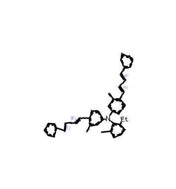 CCc1cccc(C)c1N(c1ccc(/C=C/C=C/c2ccccc2)c(C)c1)c1ccc(/C=C/C=C/c2ccccc2)c(C)c1